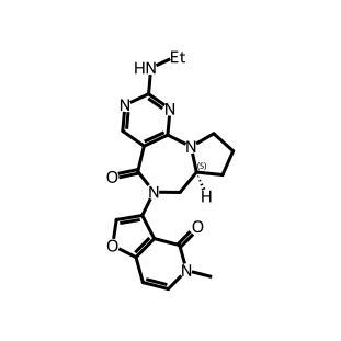 CCNc1ncc2c(n1)N1CCC[C@H]1CN(c1coc3ccn(C)c(=O)c13)C2=O